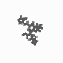 CC[C@H](C)[C@H](NC(=O)C1(F)CCC1)C(=O)N1C[C@H]2[C@@H]([C@H]1C(=O)NNC[C@@H]1CCNC1=O)C2(C)C